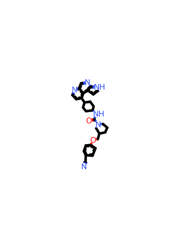 N#Cc1ccc(OCC2CCCN(C(=O)NC3CCC(c4ccnc5cnc6[nH]ccc6c45)CC3)C2)cc1